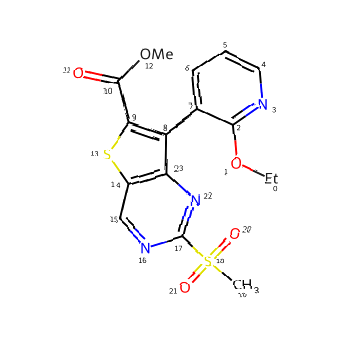 CCOc1ncccc1-c1c(C(=O)OC)sc2cnc(S(C)(=O)=O)nc12